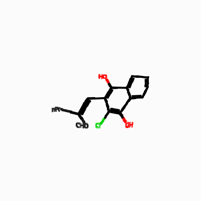 CCC/C(C=O)=C/c1c(Cl)c(O)c2ccccc2c1O